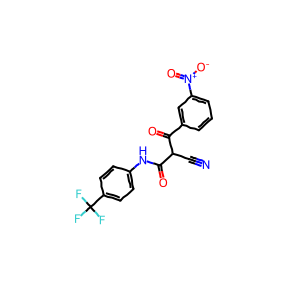 N#CC(C(=O)Nc1ccc(C(F)(F)F)cc1)C(=O)c1cccc([N+](=O)[O-])c1